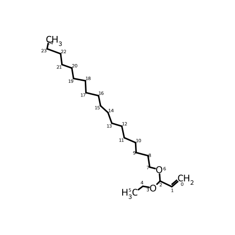 C=CC(OCC)OCCCCCCCCCCCCCCCCCC